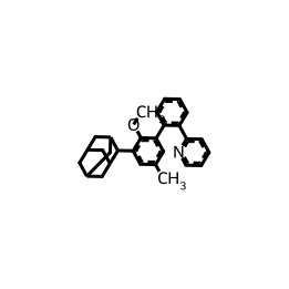 COc1c(-c2ccccc2-c2ccccn2)cc(C)cc1C1C2CC3CC(C2)CC1C3